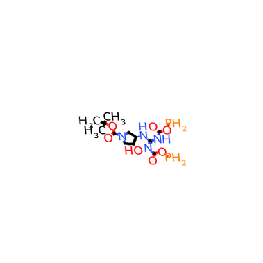 CC(C)(C)OC(=O)N1C[C@@H](O)[C@H](NC(=NC(=O)OP)NC(=O)OP)C1